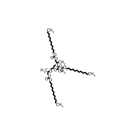 CCCCCCCCCCCCOC(=O)OCC(C)OCC(COC(C)COC(=O)OCCCCCCCCCCCC)OC(C)COC(=O)OCCCCCCCCCCCC